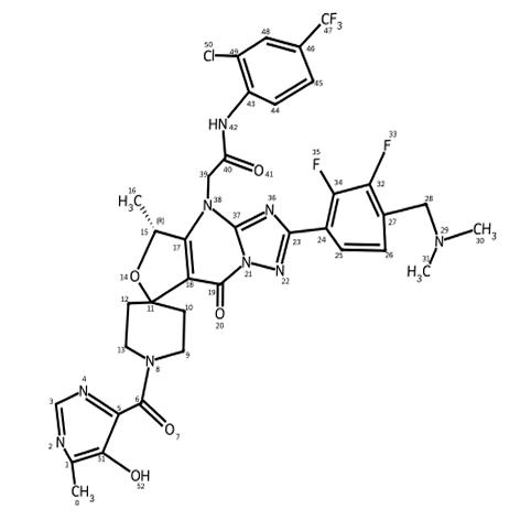 Cc1ncnc(C(=O)N2CCC3(CC2)O[C@H](C)c2c3c(=O)n3nc(-c4ccc(CN(C)C)c(F)c4F)nc3n2CC(=O)Nc2ccc(C(F)(F)F)cc2Cl)c1O